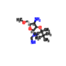 COC[C@H]1O[C@@H](NC=N)C(O[Si](C)(C)C(C)(C)C)[C@@H]1N